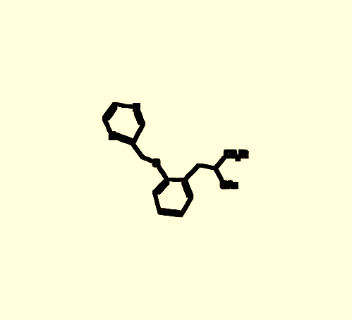 CCOC(=O)C(Cc1ccccc1OCc1cnccn1)OC(C)=O